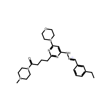 CCc1cccc(/C=N/Nc2cc(N3CCOCC3)nc(CCCC(=O)N3CCN(C)CC3)n2)c1